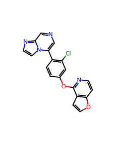 Clc1cc(Oc2nccc3occc23)ccc1-c1cncc2nccn12